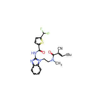 CN(CCn1c(NC(=O)c2ccc(C(F)F)s2)nc2ccccc21)C(=O)C(C#N)=CC(C)(C)C